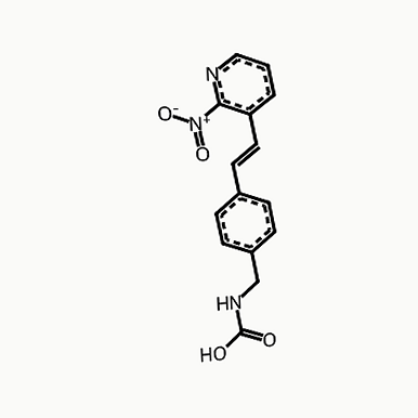 O=C(O)NCc1ccc(C=Cc2cccnc2[N+](=O)[O-])cc1